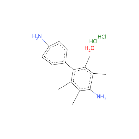 Cc1c(C)c(-c2ccc(N)cc2)c(C)c(C)c1N.Cl.Cl.O